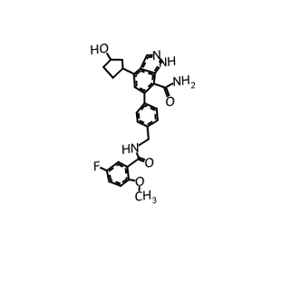 COc1ccc(F)cc1C(=O)NCc1ccc(-c2cc(C3CCC(O)C3)c3cn[nH]c3c2C(N)=O)cc1